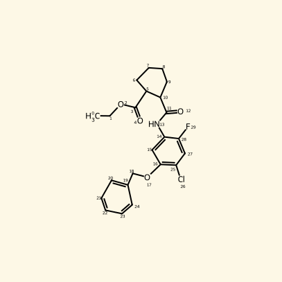 CCOC(=O)C1CCCCC1C(=O)Nc1cc(OCc2ccccc2)c(Cl)cc1F